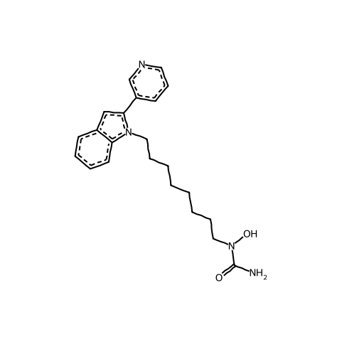 NC(=O)N(O)CCCCCCCCn1c(-c2cccnc2)cc2ccccc21